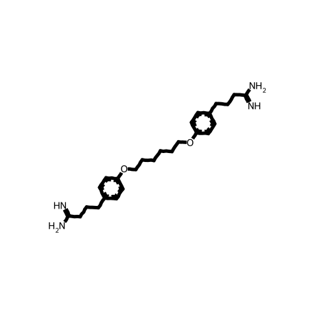 N=C(N)CCCc1ccc(OCCCCCCOc2ccc(CCCC(=N)N)cc2)cc1